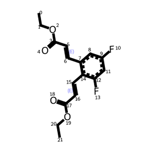 CCOC(=O)/C=C/c1cc(F)cc(F)c1/C=C/C(=O)OCC